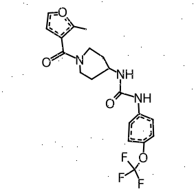 Cc1occc1C(=O)N1CCC(NC(=O)Nc2ccc(OC(F)(F)F)cc2)CC1